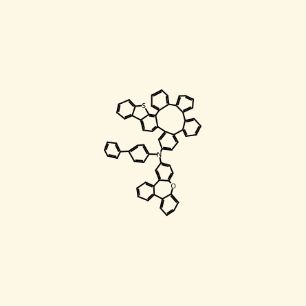 c1ccc(-c2ccc(N(c3ccc4c(c3)-c3ccccc3-c3ccccc3O4)c3ccc4c5ccccc5c5ccccc5c5ccccc5c5c(ccc6c7ccccc7sc65)c4c3)cc2)cc1